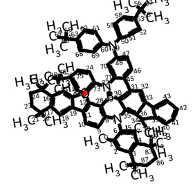 Cc1cc2c(cc1N1c3ccc4c(oc5cc6c(cc54)C(C)(C)CCC6(C)C)c3B3c4c(cc5c(c41)C(C)(C)c1ccccc1-5)-c1ccc(N(c4ccc(C(C)(C)C)cc4)c4ccc(C(C)(C)C)cc4)cc1N3c1ccc(C(C)(C)C)cc1)C(C)(C)CCC2(C)C